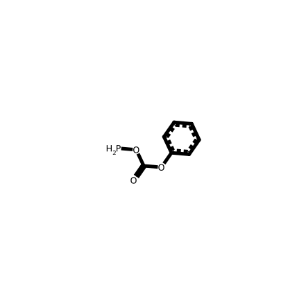 O=C(OP)Oc1ccccc1